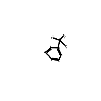 CCC(Cl)(Cl)c1ccccc1